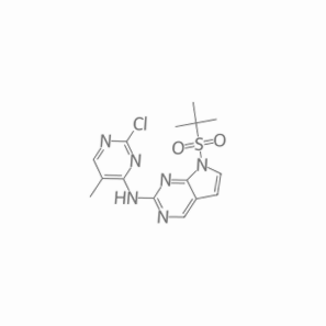 Cc1cnc(Cl)nc1Nc1ncc2ccn(S(=O)(=O)C(C)(C)C)c2n1